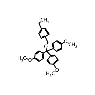 CCc1ccc(COC(c2ccc(OC)cc2)(c2ccc(OC)cc2)c2ccc(OC)cc2)cc1